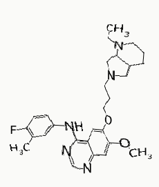 CCN1CCCC2CN(CCCOc3cc4c(Nc5ccc(F)c(C)c5)ncnc4cc3OC)CC21